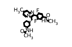 CNC(=O)c1cc(F)c(-c2nc3cc(C)ccn3c2C[C@H]2CCC[C@H](NC(C)=O)C2)c(F)c1